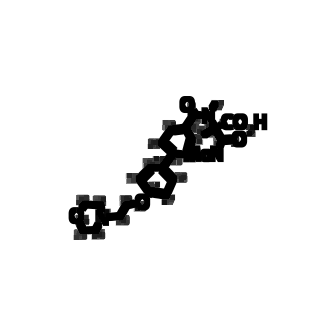 CNC(=O)[C@@](C)(C(=O)O)N(C)C(=O)c1ccc(-c2ccc(OCCN3CCOCC3)cc2)cc1